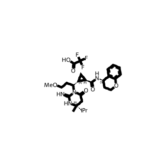 COCCC([C@@H]1C[C@H]1C(=O)N[C@H]1CCOc2ccccc21)N1C(=N)N[C@@](C)(C(C)C)CC1=O.O=C(O)C(F)(F)F